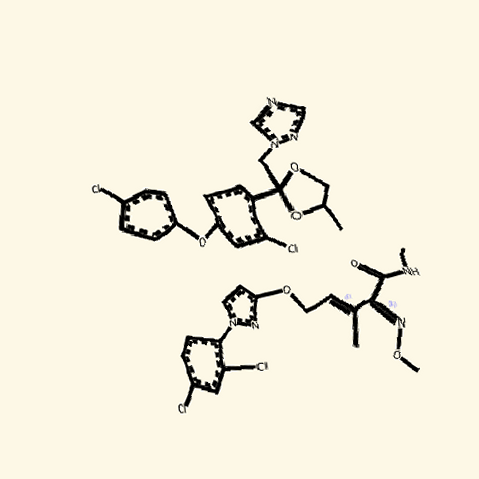 CC1COC(Cn2cncn2)(c2ccc(Oc3ccc(Cl)cc3)cc2Cl)O1.CNC(=O)C(=N/OC)/C(C)=C/COc1ccn(-c2ccc(Cl)cc2Cl)n1